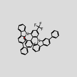 Fc1cccc(F)c1-c1c(-n2c3ccccc3c3ccc(-c4ccccc4)cc32)cc(C(F)(F)F)cc1-n1c2ccccc2c2ccc(-c3ccccc3)cc21